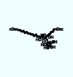 CCCCCCCCCCCCCCCCCCCCCCCC[C@@H](O)C(=O)N[C@@H](CO[C@H]1O[C@H](CO)[C@H](O)[C@H](O)[C@H]1O)[C@H](O)[C@H](O)CCCCCCCCCCCCCCC